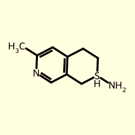 Cc1cc2c(cn1)C[SH](N)CC2